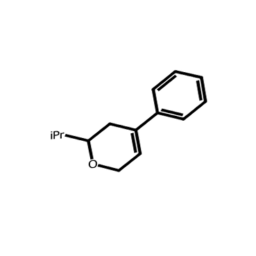 CC(C)C1CC(c2ccccc2)=CCO1